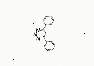 c1ccc(-c2cc(-c3ccccc3)nnn2)cc1